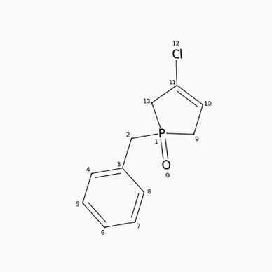 O=P1(Cc2ccccc2)CC=C(Cl)C1